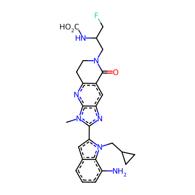 Cn1c(-c2cc3cccc(N)c3n2CC2CC2)nc2cc3c(nc21)CCN(CC(CF)NC(=O)O)C3=O